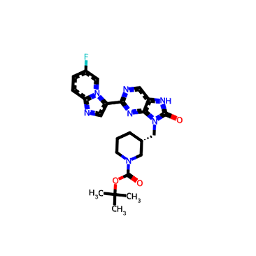 CC(C)(C)OC(=O)N1CCC[C@H](Cn2c(=O)[nH]c3cnc(-c4cnc5ccc(F)cn45)nc32)C1